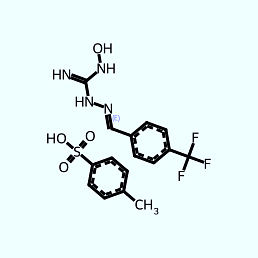 Cc1ccc(S(=O)(=O)O)cc1.N=C(NO)N/N=C/c1ccc(C(F)(F)F)cc1